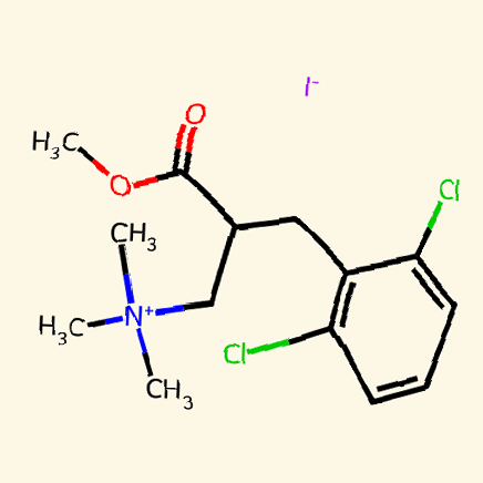 COC(=O)C(Cc1c(Cl)cccc1Cl)C[N+](C)(C)C.[I-]